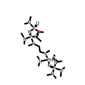 CN(C)P(=O)(N=P(N(C)C)(N(C)C)N(C)CCN(C)[PH](N=P(N(C)C)(N(C)C)N(C)C)(N(C)C)N(C)C)N(C)C